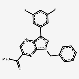 COC(=O)c1cnc2c(-c3cc(F)cc(F)c3)nn(Cc3ccccc3)c2n1